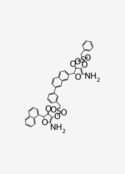 NC1=C(OS(=O)(=O)Cc2ccccc2)C(=O)C(c2ccc3ccc(-c4cccc(CS(=O)(=O)OC5=C(N)OC(c6cccc7ccccc67)C5=O)c4)cc3c2)O1